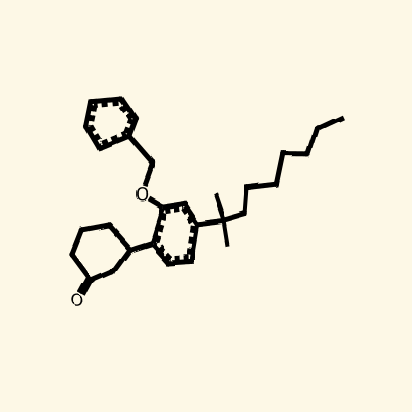 CCCCCCCC(C)(C)c1ccc(C2CCCC(=O)C2)c(OCc2ccccc2)c1